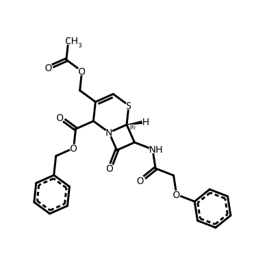 CC(=O)OCC1=CS[C@@H]2C(NC(=O)COc3ccccc3)C(=O)N2C1C(=O)OCc1ccccc1